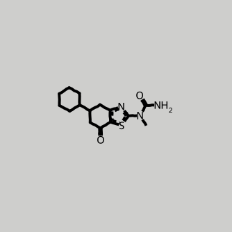 CN(C(N)=O)c1nc2c(s1)C(=O)CC(C1CCCCC1)C2